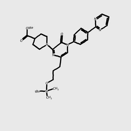 COC(=O)C1CCN(c2nc(CCCO[Si](C)(C)C(C)(C)C)cn(-c3ccc(-c4ncccn4)cc3)c2=O)CC1